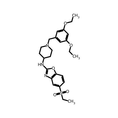 CCOc1cc(CN2CCC(Nc3nc4cc(S(=O)(=O)CC)ccc4o3)CC2)cc(OCC)c1